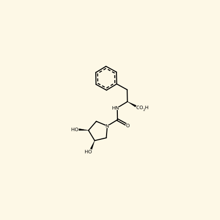 O=C(O)[C@H](Cc1ccccc1)NC(=O)N1C[C@@H](O)[C@@H](O)C1